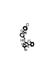 O=S(=O)(c1ccc(Cl)cc1)N1CCCC(CNc2cc(-c3ccccc3Cl)nc3c(Br)cnn23)C1